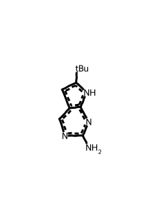 CC(C)(C)c1cc2cnc(N)nc2[nH]1